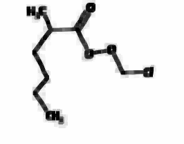 CCCCC(C)C(=O)OOCCl